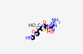 Nc1nc(/C(=N/O)C(=O)N[C@@H]2C(=O)N3C(C(=O)O)=C(/C=C4\CCN(C5CCNC5)C4=O)CS[C@H]23)ns1